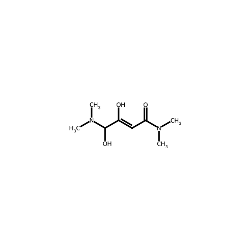 CN(C)C(=O)/C=C(\O)C(O)N(C)C